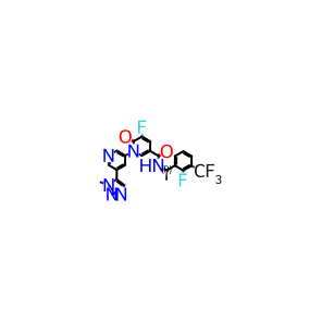 C[C@@H](NC(=O)c1cc(F)c(=O)n(-c2cncc(-c3cnnn3C)c2)c1)c1cccc(C(F)(F)F)c1F